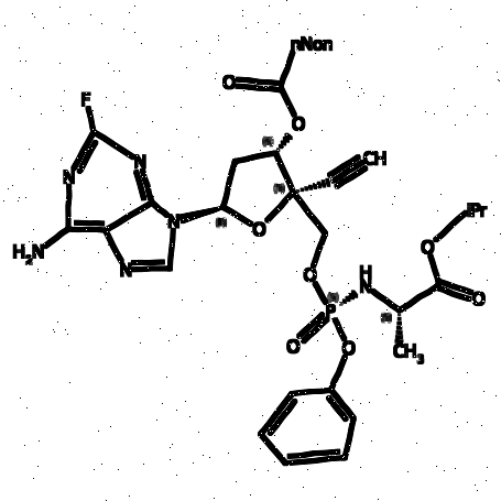 C#C[C@]1(CO[P@@](=O)(N[C@@H](C)C(=O)OC(C)C)Oc2ccccc2)O[C@@H](n2cnc3c(N)nc(F)nc32)C[C@@H]1OC(=O)CCCCCCCCC